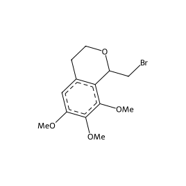 COc1cc2c(c(OC)c1OC)C(CBr)OCC2